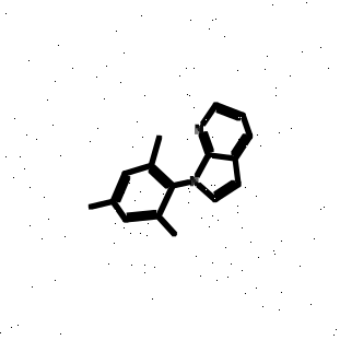 Cc1cc(C)c(-n2ccc3cccnc32)c(C)c1